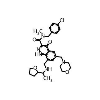 CC(NCc1cc(CN2CCOCC2)cc2c(=O)c(C(=O)N(C)Cc3ccc(Cl)cc3)n[nH]c12)C1CCCO1